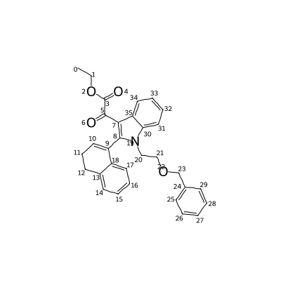 CCOC(=O)C(=O)c1c(C2=CCCc3ccccc32)n(CCOCc2ccccc2)c2ccccc12